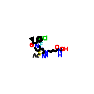 CC(=O)SC1CCN(C(C(=O)C2CC2)c2ccccc2F)C/C1=C/c1cnnn1CCCCC(=O)NO.Cl